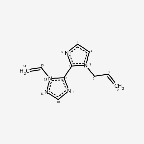 C=CCn1ccnc1-c1ncnn1C=C